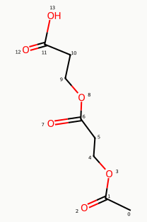 CC(=O)OCCC(=O)OCCC(=O)O